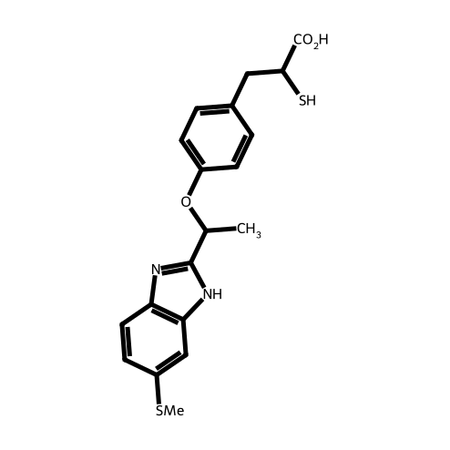 CSc1ccc2nc(C(C)Oc3ccc(CC(S)C(=O)O)cc3)[nH]c2c1